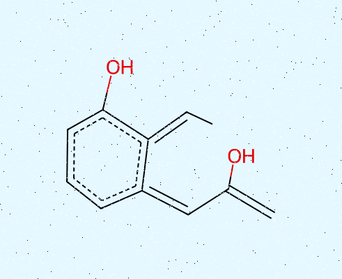 C=C(O)/C=c1/cccc(O)/c1=C/C